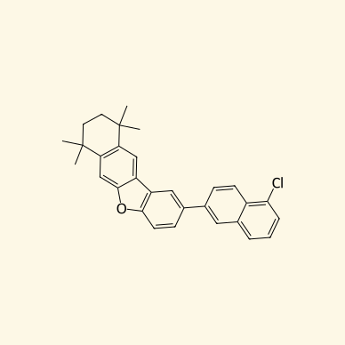 CC1(C)CCC(C)(C)c2cc3c(cc21)oc1ccc(-c2ccc4c(Cl)cccc4c2)cc13